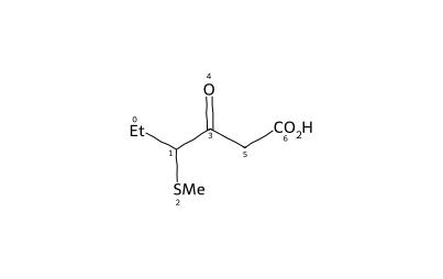 CCC(SC)C(=O)CC(=O)O